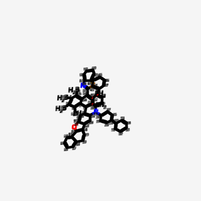 Bc1c(B)c(B)c2c(-c3cc4oc5c6ccccc6ccc5c4cc3N(c3ccc(-c4ccccc4)cc3)c3ccc(-c4ccccc4)cc3)c(B)c(B)c(-c3nc4ccccc4s3)c2c1B